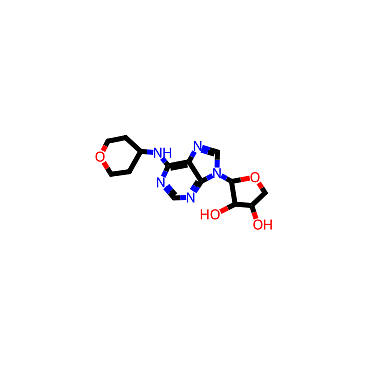 OC1COC(n2cnc3c(NC4CCOCC4)ncnc32)C1O